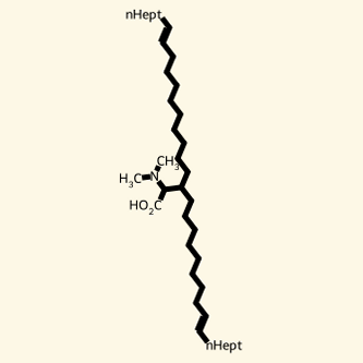 CCCCCCCC=CCCCCCCCCCC(CCCCCCCCC=CCCCCCCC)C(C(=O)O)N(C)C